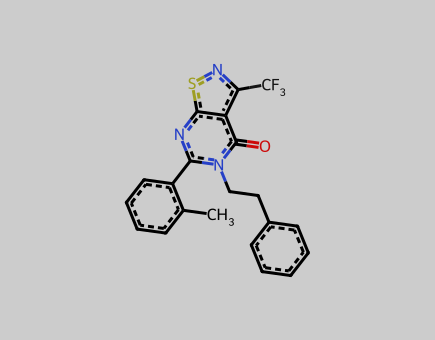 Cc1ccccc1-c1nc2snc(C(F)(F)F)c2c(=O)n1CCc1ccccc1